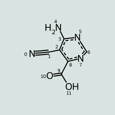 N#Cc1c(N)ncnc1C(=O)O